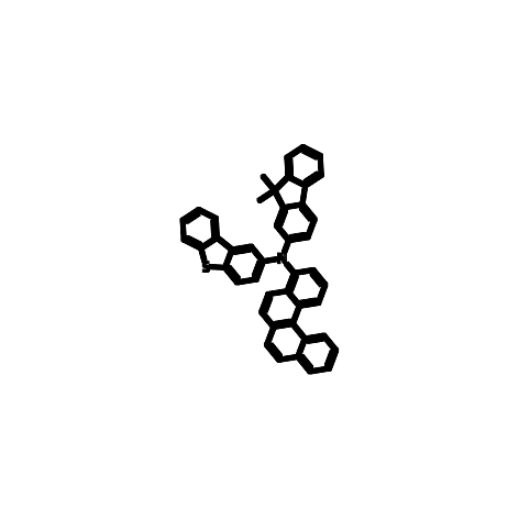 CC1(C)c2ccccc2-c2ccc(N(c3ccc4sc5ccccc5c4c3)c3cccc4c3ccc3ccc5ccccc5c34)cc21